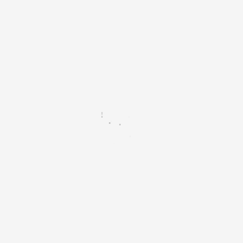 CC12CCC(C(S(=O)(=O)[O-])C1=O)C2(C)C.CCCC(=O)C[S+](C)C